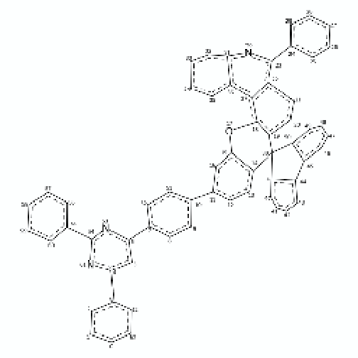 c1ccc(-c2cc(-c3ccc(-c4ccc5c(c4)Oc4c(ccc6c(-c7ccccc7)nc7ccccc7c46)C54c5ccccc5-c5ccccc54)cc3)nc(-c3ccccc3)n2)cc1